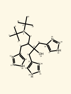 CC(C)(C)N(CC(Cc1c[nH]nn1)C(O)(Cc1c[nH]nn1)Cc1c[nH]nn1)C(C)(C)C